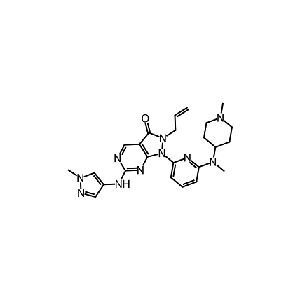 C=CCn1c(=O)c2cnc(Nc3cnn(C)c3)nc2n1-c1cccc(N(C)C2CCN(C)CC2)n1